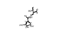 C=C(O)C(/C=N/NC(=O)c1cc(O)c(O)c(O)c1)=C(C)C